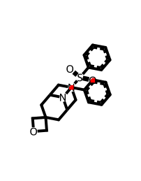 O=S(=O)(c1ccccc1)N1CC2CC3(COC3)CC(C1)N2Cc1ccccc1